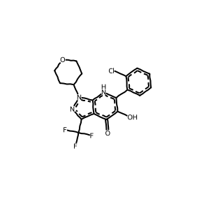 O=c1c(O)c(-c2ccccc2Cl)[nH]c2c1c(C(F)(F)F)nn2C1CCOCC1